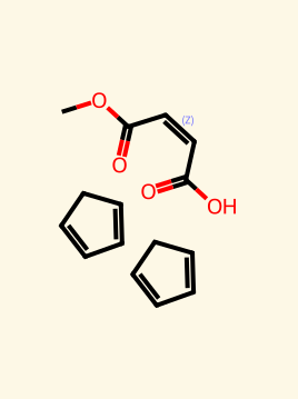 C1=CCC=C1.C1=CCC=C1.COC(=O)/C=C\C(=O)O